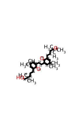 COC(C)(C)CCCC1=CC(C)(C)C=C(CCC2=CC(C)(C)C=C(CCCC(C)(C)CO)C2=O)C1=O